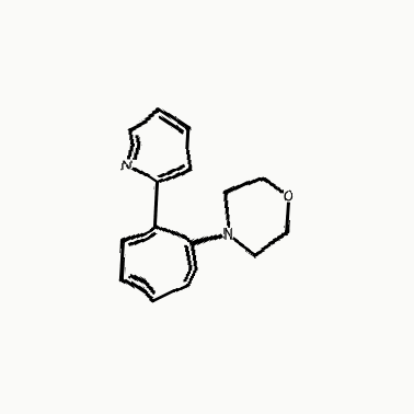 c1ccc(-c2ccccc2N2CCOCC2)nc1